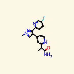 CC(C(N)=O)c1cc(-c2cn(C)nc2-c2ccc(F)cn2)ccn1